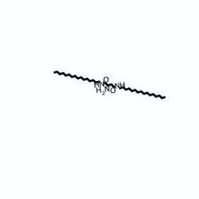 CCCCCCCCCCCCCCCCNC(=O)C[C@H](N)C(=O)NCCCCCCCCCCCCCCCC